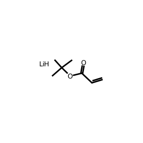 C=CC(=O)OC(C)(C)C.[LiH]